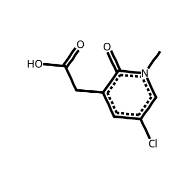 Cn1cc(Cl)cc(CC(=O)O)c1=O